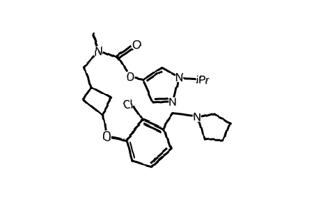 CC(C)n1cc(OC(=O)N(C)CC2CC(Oc3cccc(CN4CCCC4)c3Cl)C2)cn1